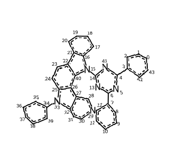 c1ccc(-c2nc(-c3ccccc3)nc(-n3c4ccccc4c4ccc5c(c6cnccc6n5-c5ccccc5)c43)n2)cc1